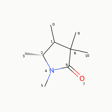 CC1[C@@H](C)N(C)C(=O)C1(C)C